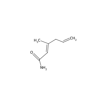 C=CCC(C)=CC(N)=O